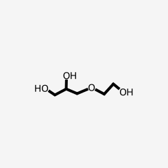 OCCOCC(O)CO